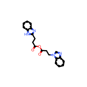 O=C(CCc1nc2ccccc2[nH]1)OC(=O)CCn1cnc2ccccc21